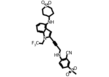 CS(=O)(=O)c1ccc(NCC#Cc2cc3c(NC4CCS(=O)(=O)CC4)cccc3n2CC(F)(F)F)c(C#N)c1